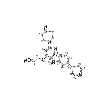 OCCOc1nc(N2CCNCC2)nc2c1[nH]c1cc(-c3ccncc3)ccc12